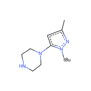 Cc1cc(N2CCNCC2)n(C(C)(C)C)n1